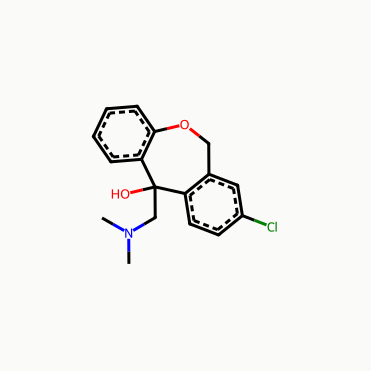 CN(C)CC1(O)c2ccc(Cl)cc2COc2ccccc21